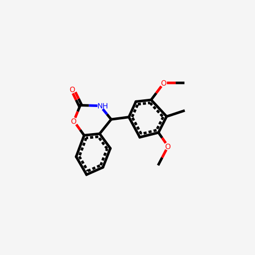 COc1cc(C2NC(=O)Oc3ccccc32)cc(OC)c1C